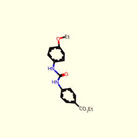 CCOC(=O)c1ccc(NC(=O)Nc2ccc(OCC)cc2)cc1